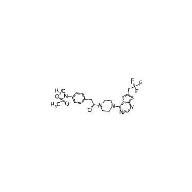 CN(c1ccc(CC(=O)N2CCN(c3ncnc4sc(CC(F)(F)F)cc34)CC2)cc1)S(C)(=O)=O